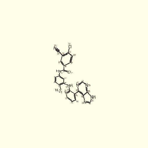 Cc1ccc(NC(=O)c2ccc(Cl)c(C#N)c2)cc1Nc1ncccc1-c1ncnc2[nH]cnc12